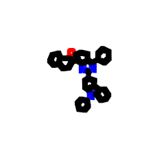 c1ccc(-c2nc(-c3ccc4c(c3)c3ccccc3n4-c3ccccc3)nc3c2ccc2oc4c5ccccc5ccc4c23)cc1